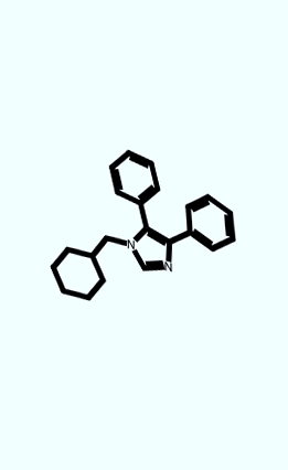 c1ccc(-c2ncn(CC3CCCCC3)c2-c2ccccc2)cc1